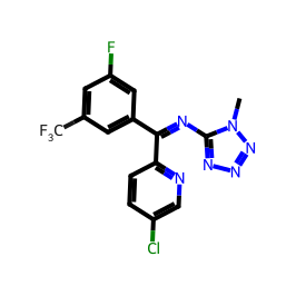 Cn1nnnc1N=C(c1cc(F)cc(C(F)(F)F)c1)c1ccc(Cl)cn1